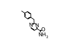 Cc1ccc(Cc2nccc(C(N)=O)n2)cc1